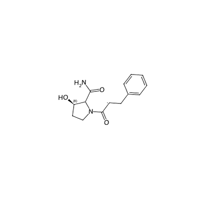 NC(=O)C1[C@H](O)CCN1C(=O)[CH]Cc1ccccc1